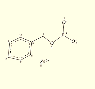 [O-]P([O-])OCc1ccccc1.[Zn+2]